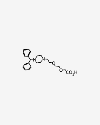 O=C(O)COCCOCCN1CCN(C(c2ccccc2)c2ccccc2)CC1